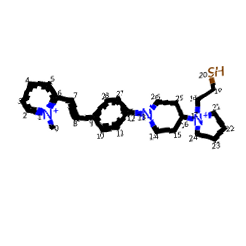 C[n+]1ccccc1/C=C/c1ccc(N2CCC([N+]3(CCS)CCCC3)CC2)cc1